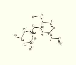 C=C/C=C(\C=C/CCC)CCCN(CCC)CC(C)C